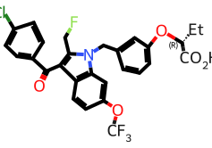 CC[C@@H](Oc1cccc(Cn2c(CF)c(C(=O)c3ccc(Cl)cc3)c3ccc(OC(F)(F)F)cc32)c1)C(=O)O